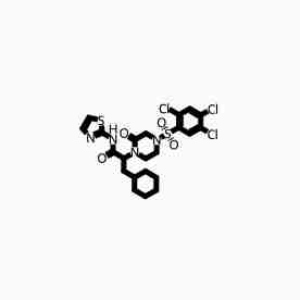 O=C(Nc1nccs1)C(CC1CCCCC1)N1CCN(S(=O)(=O)c2cc(Cl)c(Cl)cc2Cl)CC1=O